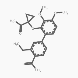 CCc1cc(-c2ccc(OC)c(OC)c2OC2(C(C)=O)CC2)ccc1C(C)=O